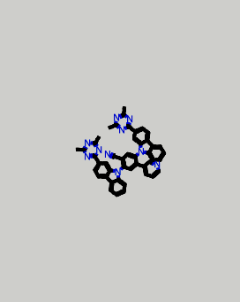 Cc1nc(C)nc(-c2ccc3c4ccccc4n(-c4cc(-c5cccnc5)c(-n5c6ccccc6c6ccc(-c7nc(C)nc(C)n7)cc65)cc4C#N)c3c2)n1